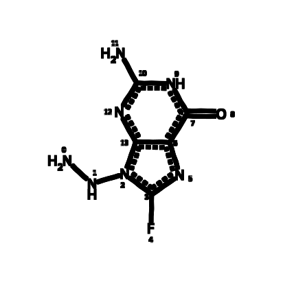 NNn1c(F)nc2c(=O)[nH]c(N)nc21